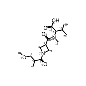 COCC(C)C(=O)N1CC(C(=O)N(C)C(C(=O)O)C(C)C)C1